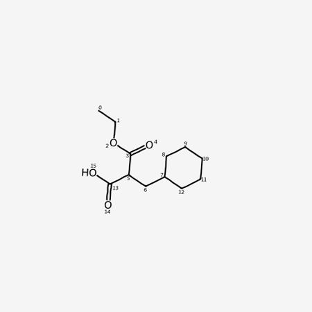 CCOC(=O)C(CC1CCCCC1)C(=O)O